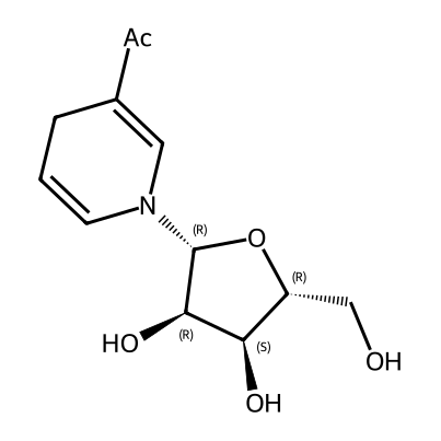 CC(=O)C1=CN([C@@H]2O[C@H](CO)[C@@H](O)[C@H]2O)C=CC1